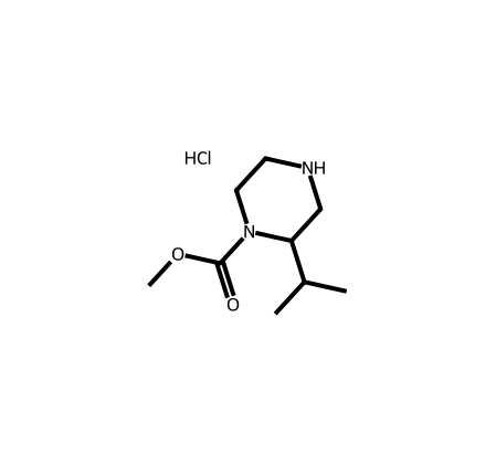 COC(=O)N1CCNCC1C(C)C.Cl